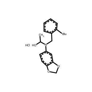 CC(O)N(Cc1ccccc1C(C)(C)C)c1ccc2c(c1)OCO2.Cl